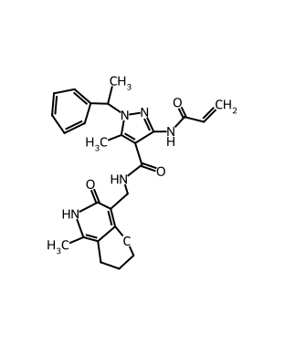 C=CC(=O)Nc1nn(C(C)c2ccccc2)c(C)c1C(=O)NCc1c2c(c(C)[nH]c1=O)CCCC2